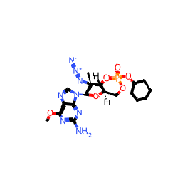 COc1nc(N)nc2c1ncn2[C@@H]1O[C@@H]2COP(=O)(OC3CCCCC3)O[C@H]2[C@@]1(C)N=[N+]=[N-]